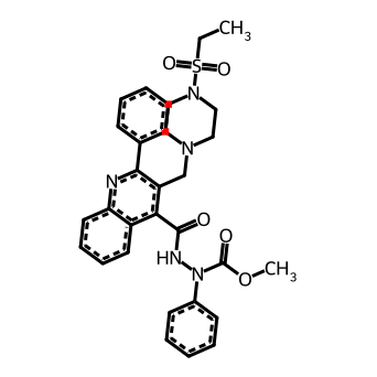 CCS(=O)(=O)N1CCN(Cc2c(-c3ccccc3)nc3ccccc3c2C(=O)NN(C(=O)OC)c2ccccc2)CC1